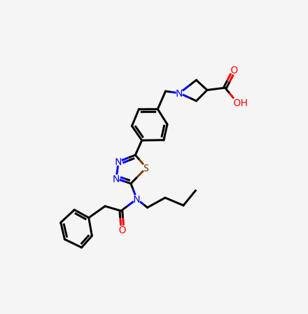 CCCCN(C(=O)Cc1ccccc1)c1nnc(-c2ccc(CN3CC(C(=O)O)C3)cc2)s1